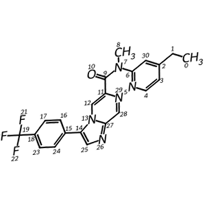 CCc1ccnc(N(C)C(=O)c2cn3c(-c4ccc(C(F)(F)F)cc4)cnc3cn2)c1